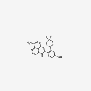 CC(C)(C)c1ccc(-c2cc(=O)c3c(C(N)=O)nccc3[nH]2)c(C2=CCC(F)(F)CC2)c1